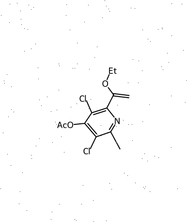 C=C(OCC)c1nc(C)c(Cl)c(OC(C)=O)c1Cl